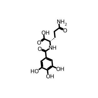 NC(=O)CC[C@H](NC(=O)c1cc(O)c(O)c(O)c1)C(=O)O